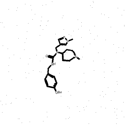 CC(C)COc1ccc(CNC(=O)N(Cc2cnn(C)c2)C2CCN(C)CC2)cc1